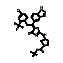 CC(C)(C)OC(=O)N1CCC(NC2=NC(=O)C(=C(Cc3ccc(Cl)cc3C(F)(F)F)c3ccc4[nH]ncc4c3)S2)C1